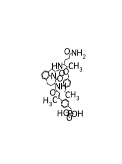 CCc1ccc(CO[C@H](C)[C@H](CCC(N)=O)NC(=O)[C@@H]2Cc3cccc4c3N2C(=O)[C@@H](NC(=O)/C=C(\C)c2ccc(CP(=O)(O)O)cc2)CC4)cc1